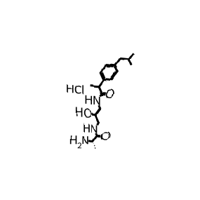 CC(C)Cc1ccc(C(C)C(=O)NCC(O)CNC(=O)[C@H](C)N)cc1.Cl